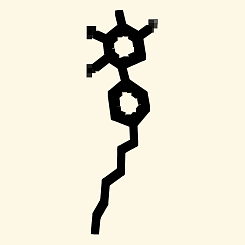 CCCCCCCc1ccc(-c2cc(F)c(C)c(F)c2F)cc1